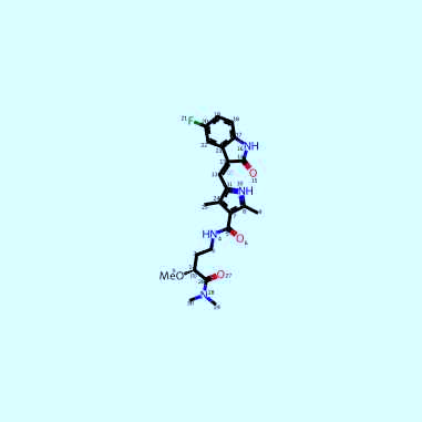 CO[C@@H](CCNC(=O)c1c(C)[nH]c(/C=C2\C(=O)Nc3ccc(F)cc32)c1C)C(=O)N(C)C